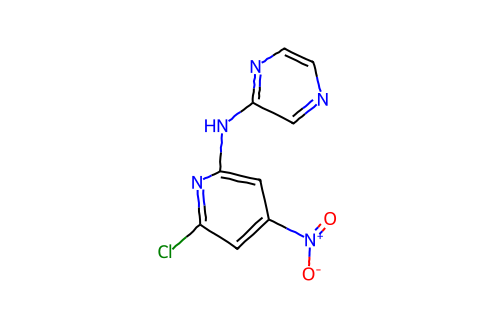 O=[N+]([O-])c1cc(Cl)nc(Nc2cnccn2)c1